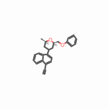 C#Cc1ccc(C2C[C@H](COc3ccccc3)O[C@H](C)C2)c2ccccc12